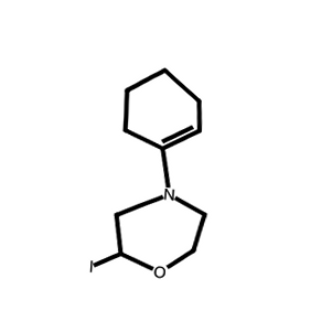 IC1CN(C2=CCCCC2)CCO1